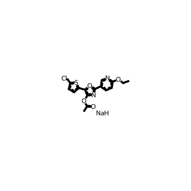 CCOc1ccc(-c2nc(OC(C)=O)c(-c3ccc(Cl)s3)o2)cn1.[NaH]